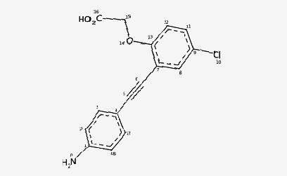 Nc1ccc(C#Cc2cc(Cl)ccc2OCC(=O)O)cc1